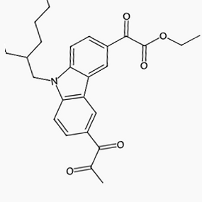 CCCCC(CC)Cn1c2ccc(C(=O)C(C)=O)cc2c2cc(C(=O)C(=O)OCC)ccc21